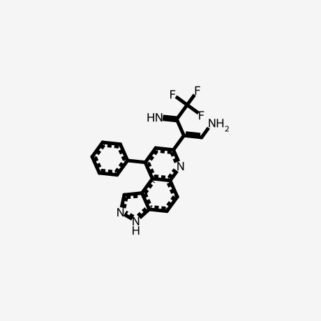 N=C(/C(=C\N)c1cc(-c2ccccc2)c2c(ccc3[nH]ncc32)n1)C(F)(F)F